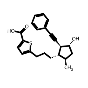 C[C@@H]1C[C@@H](O)[C@H](C#Cc2ccccc2)[C@H]1CCCc1ccc(C(=O)O)s1